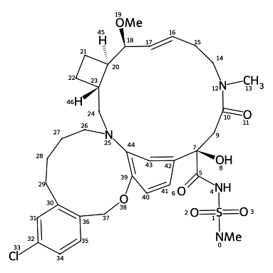 CNS(=O)(=O)NC(=O)[C@@]1(O)CC(=O)N(C)CC/C=C/[C@H](OC)[C@@H]2CC[C@H]2CN2CCCCc3cc(Cl)ccc3COc3ccc1cc32